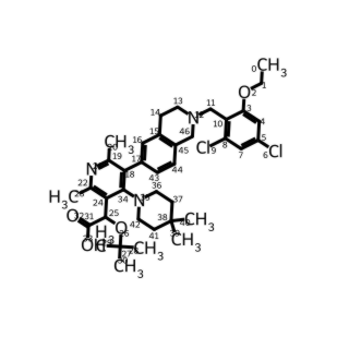 CCOc1cc(Cl)cc(Cl)c1CN1CCc2cc(-c3c(C)nc(C)c(C(OC(C)(C)C)C(=O)O)c3N3CCC(C)(C)CC3)ccc2C1